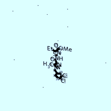 CCc1sc(NC(=O)c2nnn(Cc3ccc(Cl)c(Cl)c3)c2C)nc1C(=O)OC